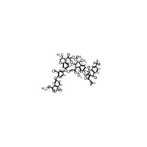 CC1COc2ccccc2N1C(=O)C(Cl)Cl.CCc1cccc(C)c1N(C(=O)CCl)C(C)COC.COC(=O)c1cc(Oc2ccc(Cl)cc2Cl)ccc1[N+](=O)[O-].CS(=O)(=O)c1cc(C(F)(F)F)ccc1C(=O)c1cnoc1C1CC1